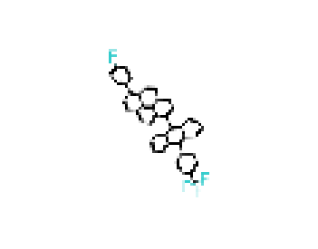 Fc1ccc(-c2ccc3ccc4c(-c5c6ccccc6c(-c6ccc(C(F)(F)F)cc6)c6ccccc56)ccc5ccc2c3c54)cc1